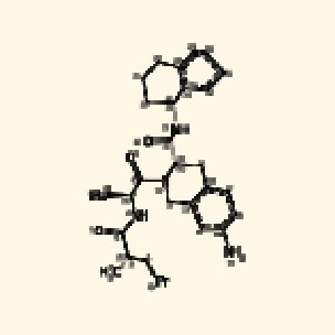 C[C](C)C[C@H](C)C(=O)N[C@H](C(=O)N1Cc2cc(N)ccc2C[C@H]1C(=O)N[C@@H]1CCCc2ccccc21)C(C)(C)C